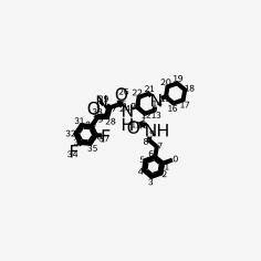 Cc1ccccc1CCNC(=O)[C@H]1CN(C2CCCCC2)CC[C@@H]1NC(=O)c1cc(-c2ccc(F)cc2F)on1